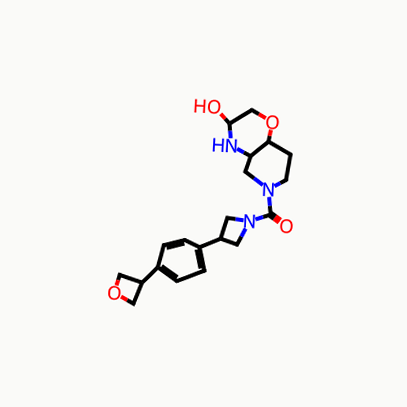 O=C(N1CC(c2ccc(C3COC3)cc2)C1)N1CCC2OCC(O)NC2C1